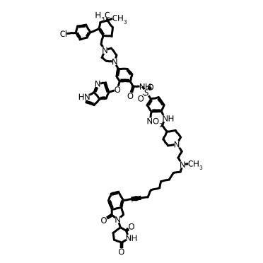 CN(CCCCCCCC#Cc1cccc2c1CN(C1CCC(=O)NC1=O)C2=O)CCN1CCC(CNc2ccc(S(=O)(=O)NC(=O)c3ccc(N4CCN(CC5=C(c6ccc(Cl)cc6)CC(C)(C)CC5)CC4)cc3Oc3cnc4[nH]ccc4c3)cc2[N+](=O)[O-])CC1